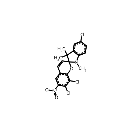 CN1c2ccc(Cl)cc2C(C)(C)C12C=Cc1cc([N+](=O)[O-])c(Cl)c(Cl)c1O2